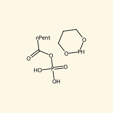 C1COPOC1.CCCCCC(=O)OP(=O)(O)O